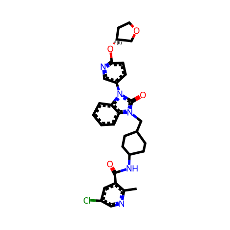 Cc1ncc(Cl)cc1C(=O)NC1CCC(Cn2c(=O)n(-c3ccc(O[C@@H]4CCOC4)nc3)c3ccccc32)CC1